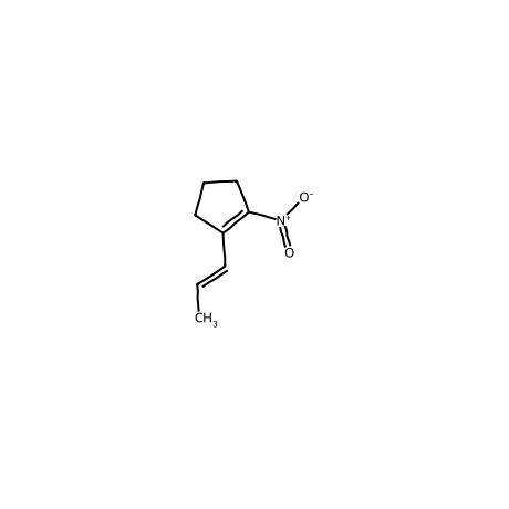 C/C=C/C1=C([N+](=O)[O-])CCC1